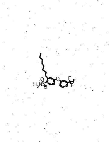 CCCCCCCCc1cc(Oc2cccc(C(F)(F)F)c2)ccc1S(N)(=O)=O